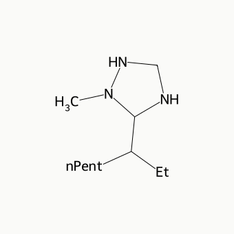 CCCCCC(CC)C1NCNN1C